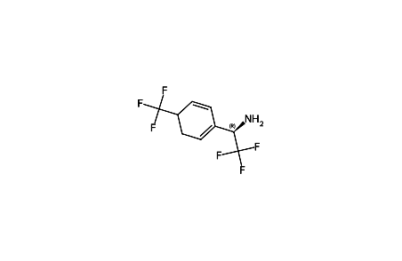 N[C@H](C1=CCC(C(F)(F)F)C=C1)C(F)(F)F